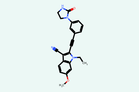 CCn1c(C#Cc2cccc(N3CCNC3=O)c2)c(C#N)c2ccc(OC)cc21